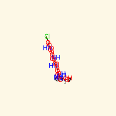 CC1(CCN(CCNC(=O)OCCOCCOCCNC(=O)OC/C=C/COC(=O)NCCOCCOCCOC(=O)NCCOCCOCCCCCCCl)C(=O)CCNCC(O)COc2cccc3ccccc23)N=N1